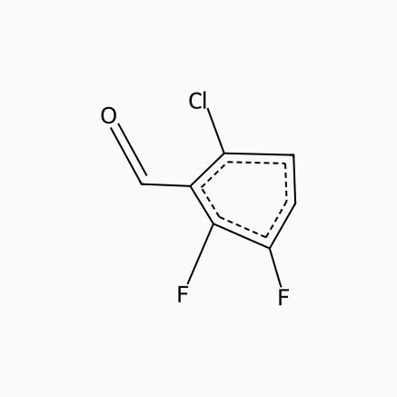 O=Cc1c(Cl)ccc(F)c1F